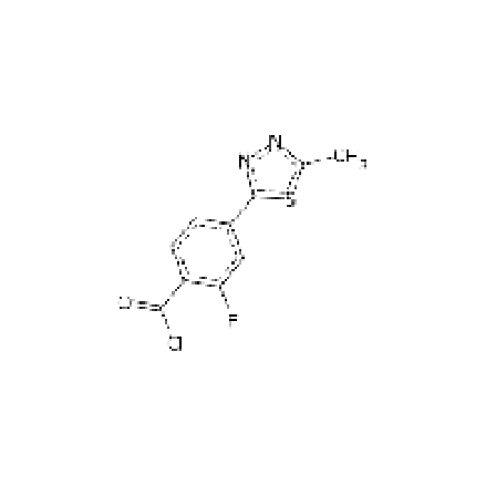 Cc1nnc(-c2ccc(C(=O)Cl)c(F)c2)s1